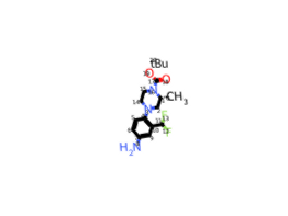 C[C@@H]1CN(c2ccc(N)cc2C(F)F)CCN1C(=O)OC(C)(C)C